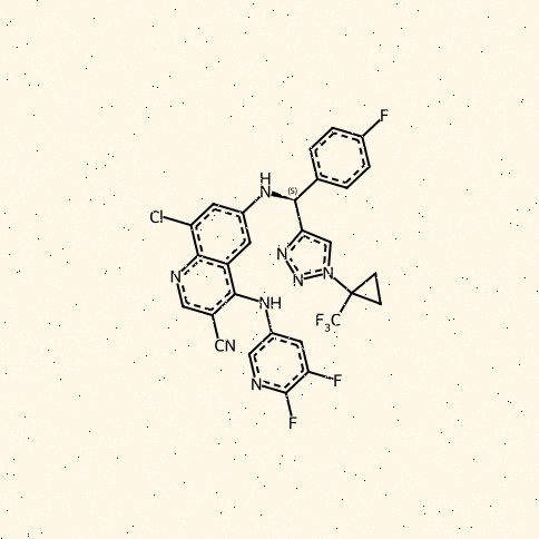 N#Cc1cnc2c(Cl)cc(N[C@@H](c3ccc(F)cc3)c3cn(C4(C(F)(F)F)CC4)nn3)cc2c1Nc1cnc(F)c(F)c1